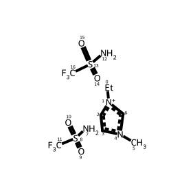 CC[n+]1ccn(C)c1.NS(=O)(=O)C(F)(F)F.NS(=O)(=O)C(F)(F)F